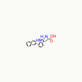 NC(Cc1c[nH]c2c(-c3ccc4ccccc4c3)cccc12)C(=O)O